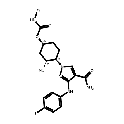 CCNC(=O)O[C@H]1CC[C@@H](n2cc(C(N)=O)c(Nc3ccc(F)cc3)n2)[C@H](C#N)C1